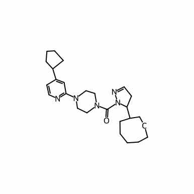 O=C(N1CCN(c2cc(C3CCCC3)ccn2)CC1)N1N=CCC1C1CCCCCCC1